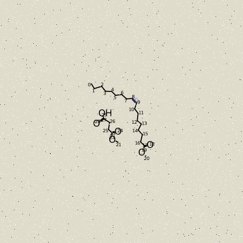 CCCCCCCC/C=C\CCCCCCCC(=O)OC.COC(=O)CCC(=O)O